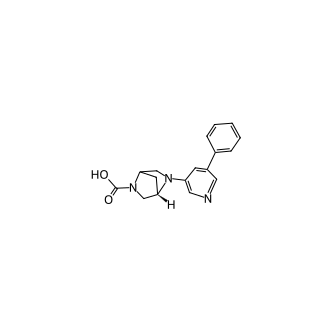 O=C(O)N1C[C@@H]2CC1CN2c1cncc(-c2ccccc2)c1